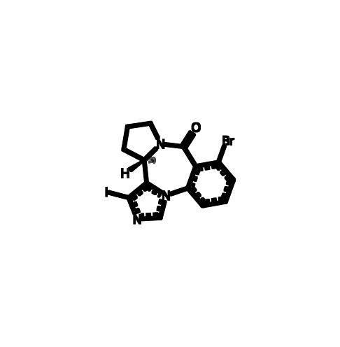 O=C1c2c(Br)cccc2-n2cnc(I)c2[C@@H]2CCCN12